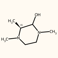 C[C@H]1C(O)N(C)CCN1C